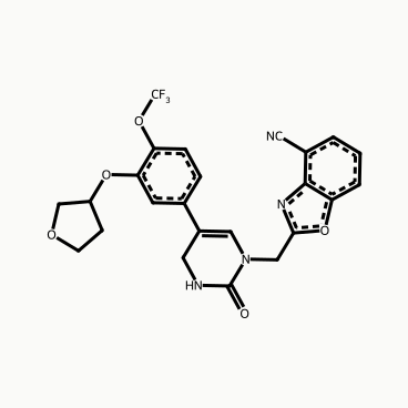 N#Cc1cccc2oc(CN3C=C(c4ccc(OC(F)(F)F)c(OC5CCOC5)c4)CNC3=O)nc12